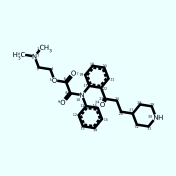 CN(C)CCOC(=O)C(=O)N(c1ccccc1)c1ccccc1C(=O)CCC1CCNCC1